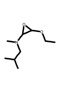 CCOC1OC1N(C)CC(C)C